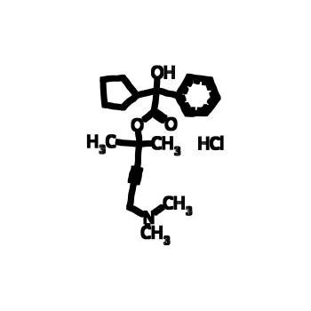 CN(C)CC#CC(C)(C)OC(=O)C(O)(c1ccccc1)C1CCCC1.Cl